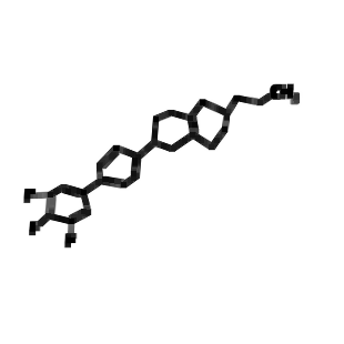 CCCC1CCC2=C(CCC(c3ccc(-c4cc(F)c(F)c(F)c4)cc3)C2)C1